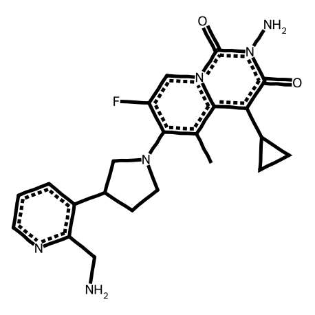 Cc1c(N2CCC(c3cccnc3CN)C2)c(F)cn2c(=O)n(N)c(=O)c(C3CC3)c12